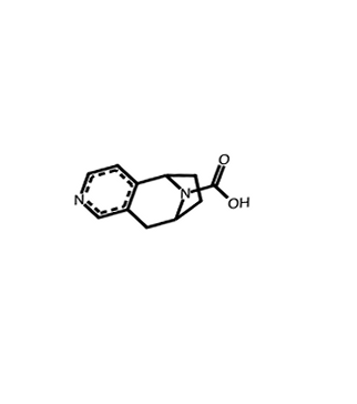 O=C(O)N1C2CCC1c1ccncc1C2